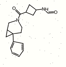 O=CNC1CC(C(=O)N2CCC3(c4ccccc4)CC3C2)C1